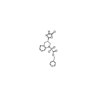 O=C(OCc1ccccc1)S(=O)(=O)N1C[C@H](c2n[nH]c(=O)o2)Cc2ccccc21